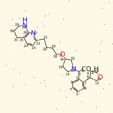 O=C(O)C(c1ccccc1C1CCOC1)N1CCC(OCCCCc2ccc3c(n2)NCCC3)C1